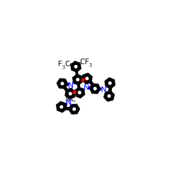 N#Cc1ccc(-n2c3ccccc3c3cc(-n4c5ccccc5c5ccccc54)ccc32)c(-c2ccc(-c3cc(C(F)(F)F)cc(C(F)(F)F)c3)cc2-n2c3ccccc3c3cc(-n4c5ccccc5c5ccccc54)ccc32)c1